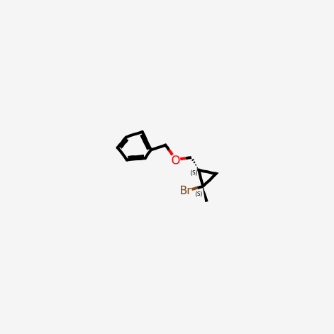 C[C@]1(Br)C[C@H]1COCc1ccccc1